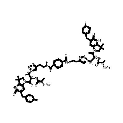 CN[C@@H](C)C(=O)N[C@H](C(=O)N1CC(C)(C)c2[nH]c(=O)c(Cc3ccc(F)cc3)cc21)[C@H](C)n1cc(CCNC(=O)c2ccc(C(=O)NCCc3cn([C@H](C)[C@@H](NC(=O)[C@@H](C)NC)C(=O)N4CC(C)(C)c5[nH]c(=O)c(Cc6ccc(F)cc6)cc54)nn3)cc2)nn1